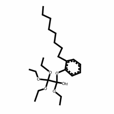 CCCCCCCCc1ccccc1OC(O)(OCC)C(OCC)(OCC)OCC